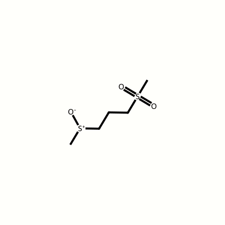 C[S+]([O-])CCCS(C)(=O)=O